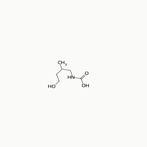 CC(CCO)CNC(=O)O